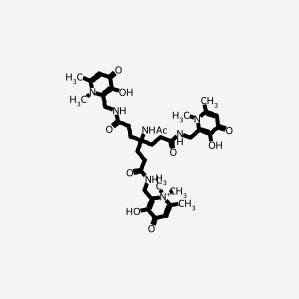 CC(=O)NC(CCC(=O)NCC1=C(O)C(=O)C=C(C)[N+]1(C)C)(CCC(=O)NCc1c(O)c(=O)cc(C)n1C)CCC(=O)NCc1c(O)c(=O)cc(C)n1C